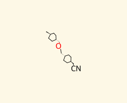 C[C@H]1CC[C@H](COCC[C@H]2CC[C@H](CC#N)CC2)CC1